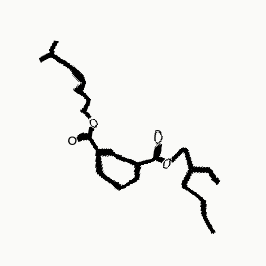 CCCCC(CC)COC(=O)C1CCCC(C(=O)OCCCCC(C)C)C1